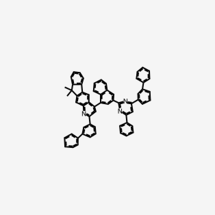 CC1(C)c2ccccc2-c2cc3c(-c4cc(-c5nc(-c6ccccc6)cc(-c6cccc(-c7ccccc7)c6)n5)cc5ccccc45)cc(-c4cccc(-c5ccccc5)c4)nc3cc21